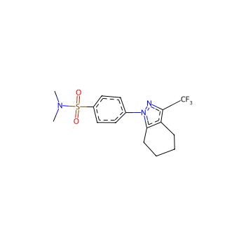 CN(C)S(=O)(=O)c1ccc(-n2nc(C(F)(F)F)c3c2CCCC3)cc1